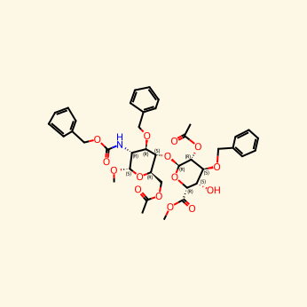 COC(=O)[C@@H]1O[C@@H](O[C@H]2[C@H](OCc3ccccc3)[C@@H](NC(=O)OCc3ccccc3)[C@@H](OC)O[C@@H]2COC(C)=O)[C@H](OC(C)=O)[C@@H](OCc2ccccc2)[C@@H]1O